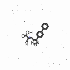 N#C/C(=C\c1nonc1-c1ccc(-c2ccccc2)cc1)C(=O)O